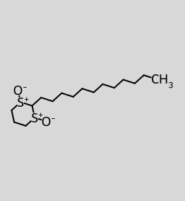 CCCCCCCCCCCCC1[S+]([O-])CCC[S+]1[O-]